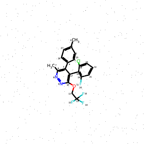 Cc1ccc(-c2c(C)nnc(OCC(F)(F)F)c2-c2c(F)cccc2Cl)cc1